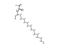 C=C(C)C(=O)OC(CC)CCCCCCCCCCCCCCC